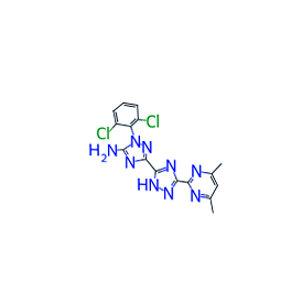 Cc1cc(C)nc(-c2n[nH]c(-c3nc(N)n(-c4c(Cl)cccc4Cl)n3)n2)n1